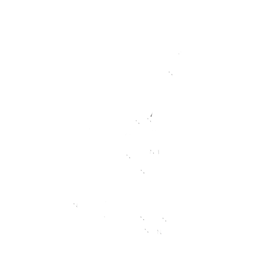 C[C@@H]1CN([C@H]2CC[C@H](n3cc(Nc4ncc(-c5ccc(C#N)c(O[C@@H](C)Cn6cnnn6)c5)cn4)c(OCCOC(F)F)n3)CC2)C[C@H](C)O1